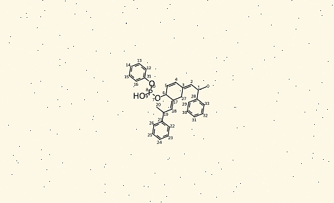 CC(C=C1C=CC(OP(O)Oc2ccccc2)C(=CC(C)c2ccccc2)C1)c1ccccc1